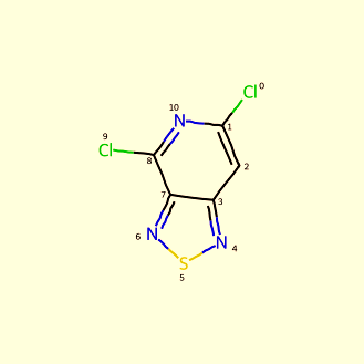 Clc1cc2nsnc2c(Cl)n1